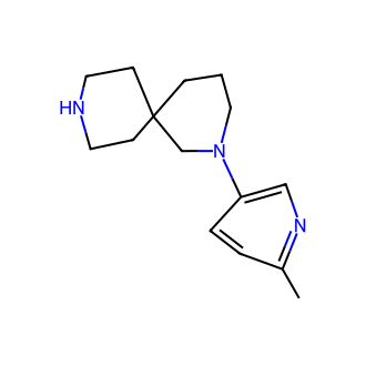 Cc1ccc(N2CCCC3(CCNCC3)C2)cn1